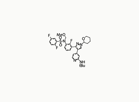 COCN(c1cccc(-c2nn(C3CCCCO3)cc2-c2ccnc(NC(C)(C)C)c2)c1F)S(=O)(=O)c1cc(F)ccc1F